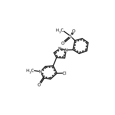 Cn1cc(-c2cnn(-c3ccccc3S(C)(=O)=O)c2)c(Cl)cc1=O